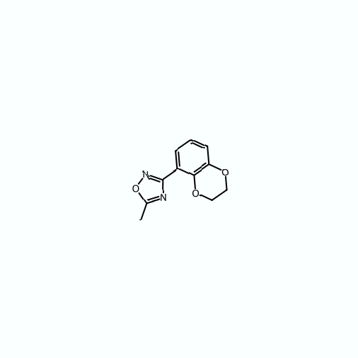 Cc1nc(-c2cccc3c2OCCO3)no1